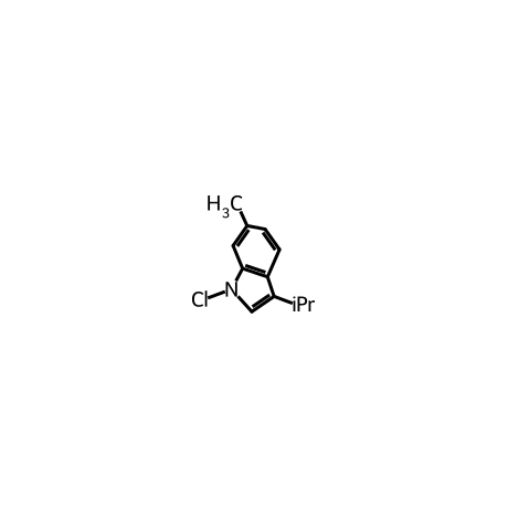 Cc1ccc2c(C(C)C)cn(Cl)c2c1